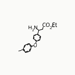 CCOC(=O)CC(N)c1ccc(Oc2ccc(C)cc2)cc1